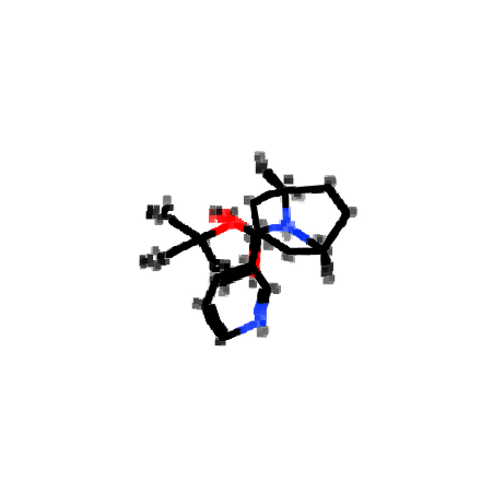 CC(C)(C)OC(=O)N1[C@@H]2CC[C@H]1C[C@](O)(c1cccnc1)C2